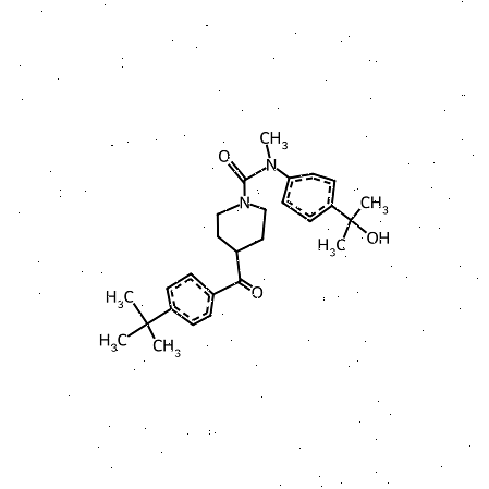 CN(C(=O)N1CCC(C(=O)c2ccc(C(C)(C)C)cc2)CC1)c1ccc(C(C)(C)O)cc1